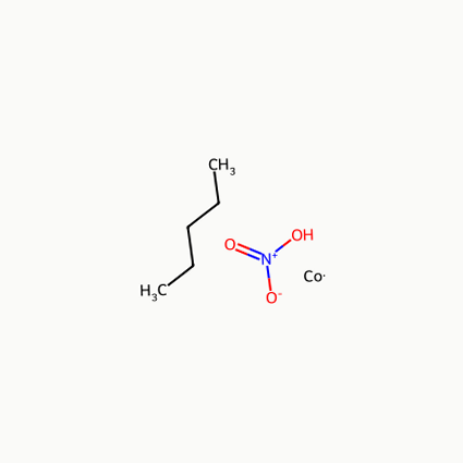 CCCCC.O=[N+]([O-])O.[Co]